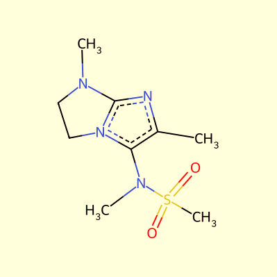 Cc1nc2n(c1N(C)S(C)(=O)=O)CCN2C